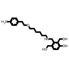 Nc1ccc(CCOCCCCCCNCc2c(CO)ccc(O)c2CO)cc1